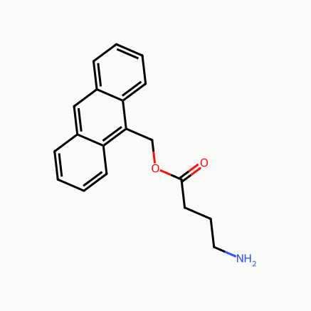 NCCCC(=O)OCc1c2ccccc2cc2ccccc12